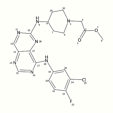 COC(=O)CN1CCC(Nc2ncc3ncnc(Nc4ccc(F)c(Cl)c4)c3n2)CC1